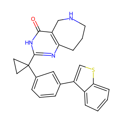 O=c1[nH]c(C2(c3cccc(-c4csc5ccccc45)c3)CC2)nc2c1CNCCC2